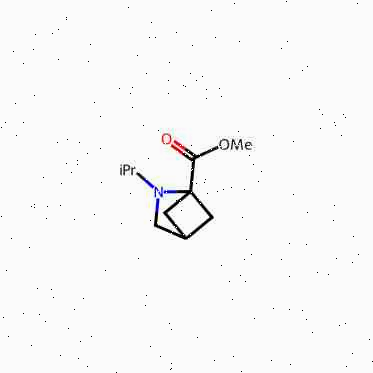 COC(=O)C12CC(CN1C(C)C)C2